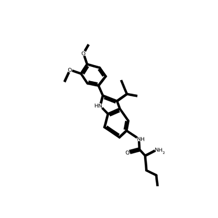 CCCC(N)C(=O)Nc1ccc2[nH]c(-c3ccc(OC)c(OC)c3)c(C(C)C)c2c1